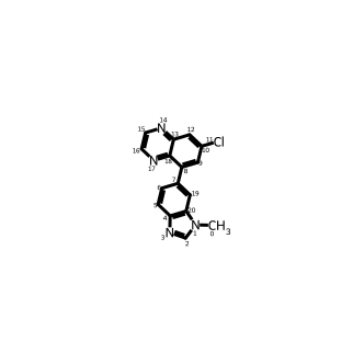 Cn1cnc2ccc(-c3cc(Cl)cc4nccnc34)cc21